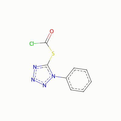 O=C(Cl)Sc1nnnn1-c1ccccc1